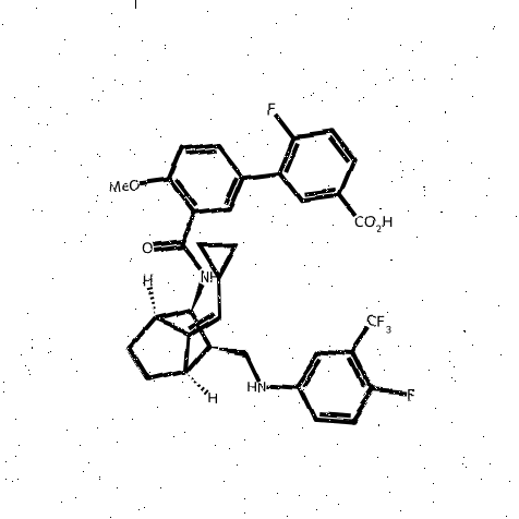 COc1ccc(-c2cc(C(=O)O)ccc2F)cc1C(=O)N[C@H]1[C@@H](CNc2ccc(F)c(C(F)(F)F)c2)[C@H]2CC[C@@H]1/C2=C\C1CC1